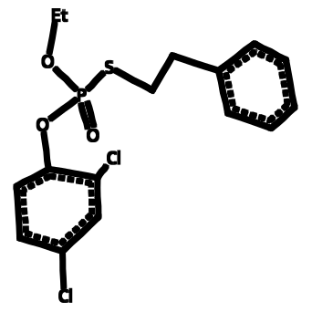 CCOP(=O)(Oc1ccc(Cl)cc1Cl)SCCc1ccccc1